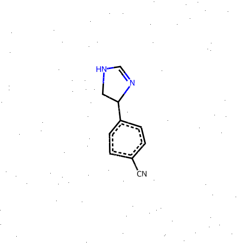 N#Cc1ccc(C2CNC=N2)cc1